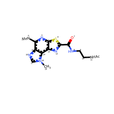 CNc1nc2sc(C(=O)NCCNC(C)=O)nc2c2c1ncn2C